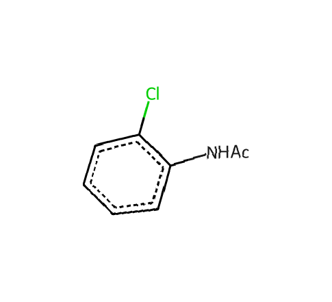 [CH2]C(=O)Nc1ccccc1Cl